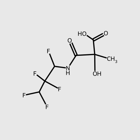 CC(O)(C(=O)O)C(=O)NC(F)C(F)(F)C(F)F